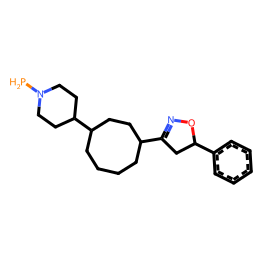 PN1CCC(C2CCCCC(C3=NOC(c4ccccc4)C3)CC2)CC1